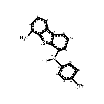 Cc1cccc2c1sc1c(N(I)c3ccc(C(C)C)cc3)cccc12